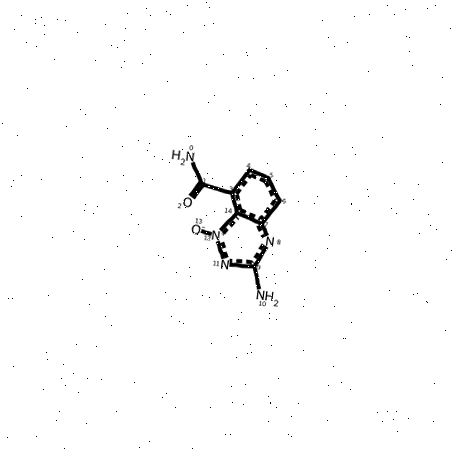 NC(=O)c1cccc2nc(N)n[n+]([O-])c12